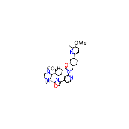 COc1ccc([C@H]2CC[C@H](CN(c3cc(-c4coc(C(C)C)n4)ccn3)C(=O)[C@H]3CC[C@H](C4CN(C)CCN4C(=O)O)CC3)CC2)nc1C